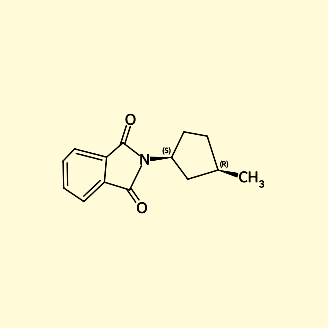 C[C@@H]1CC[C@H](N2C(=O)c3ccccc3C2=O)C1